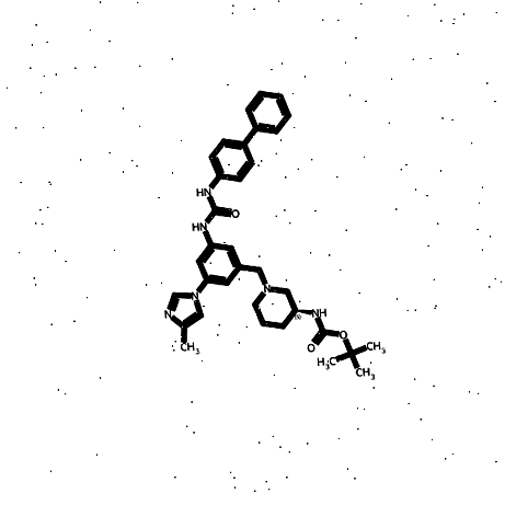 Cc1cn(-c2cc(CN3CCC[C@H](NC(=O)OC(C)(C)C)C3)cc(NC(=O)Nc3ccc(-c4ccccc4)cc3)c2)cn1